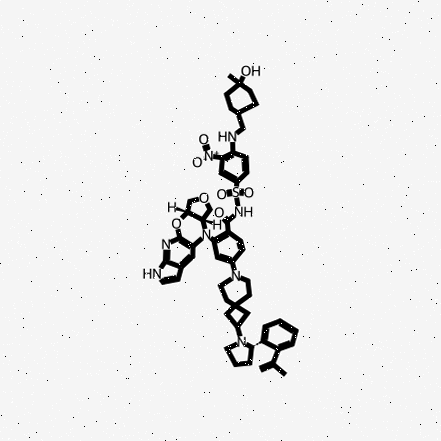 C=C(C)c1ccccc1[C@@H]1CCCN1C1CC2(CCN(c3ccc(C(=O)NS(=O)(=O)c4ccc(NCC5CCC(C)(O)CC5)c([N+](=O)[O-])c4)c(N4c5cc6cc[nH]c6nc5O[C@@H]5COC[C@@H]54)c3)CC2)C1